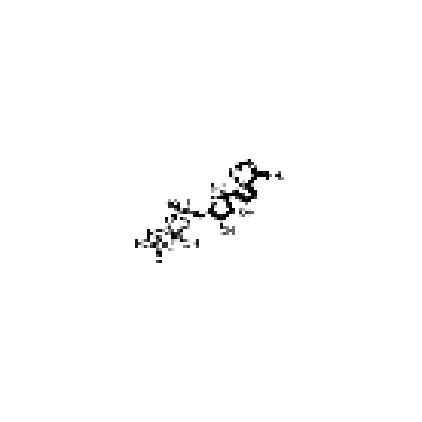 N#C[C@@]1(c2ccc3c(N)ncnn23)O[C@H](CNP(=O)(O)OP(=O)(O)OP(=O)(O)O)[C@@H](O)[C@H]1O